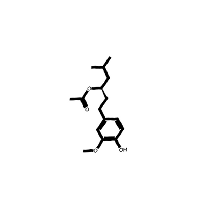 COc1cc(CC[C@H](CC(C)C)OC(C)=O)ccc1O